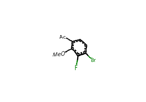 COc1c(C(C)=O)ccc(Br)c1F